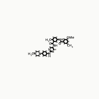 COc1cc(C)cc(C(=O)Nc2ccc(C)c(C(=O)Nc3cnc(Nc4ccc(N5CCN(C)CC5)cc4)nc3)c2)c1